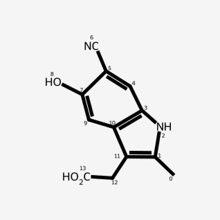 Cc1[nH]c2cc(C#N)c(O)cc2c1CC(=O)O